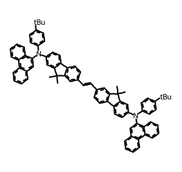 CC(C)(C)c1ccc(N(c2ccc3c(c2)C(C)(C)c2cc(/C=C/c4ccc5c(c4)C(C)(C)c4cc(N(c6ccc(C(C)(C)C)cc6)c6cc7ccccc7c7ccccc67)ccc4-5)ccc2-3)c2cc3ccccc3c3ccccc23)cc1